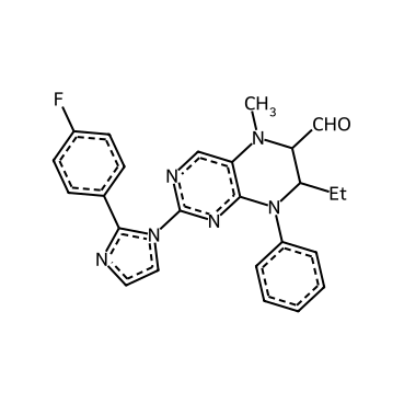 CCC1C(C=O)N(C)c2cnc(-n3ccnc3-c3ccc(F)cc3)nc2N1c1ccccc1